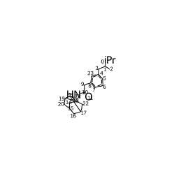 CC(C)C(C)Cc1cccc(CC(=O)NC23CC4CC(CC(C4)C2)C3)c1